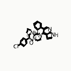 O=C([C@@H](c1ccc(Cl)cc1)[C@@H]1CCCN1)N1CCN(c2c(-c3ccccc3)cnc3[nH]ccc23)CC1